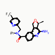 CC(C)N(Cc1ccc(C(F)(F)F)cn1)C(=O)c1ccc2nc(N)c3c(c2c1)CO[C@H]3C